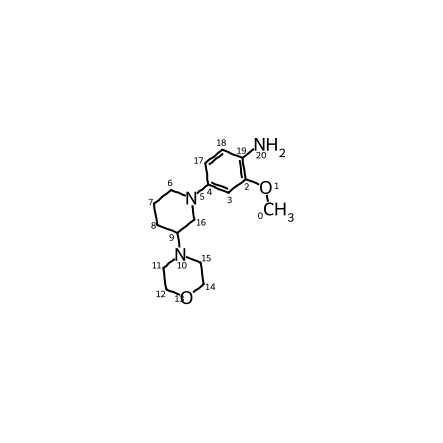 COc1cc(N2CCCC(N3CCOCC3)C2)ccc1N